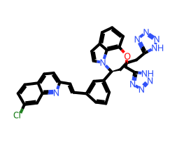 Clc1ccc2ccc(C=Cc3cccc([C@H](CCCc4nnn[nH]4)n4ccc5cccc(OCc6nnn[nH]6)c54)c3)nc2c1